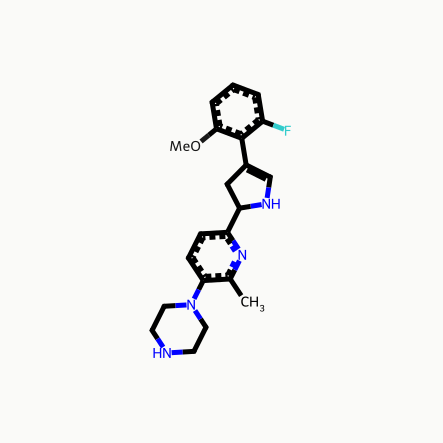 COc1cccc(F)c1C1=CNC(c2ccc(N3CCNCC3)c(C)n2)C1